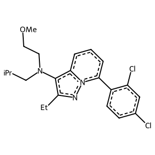 CCc1nn2c(-c3ccc(Cl)cc3Cl)cccc2c1N(CCOC)CC(C)C